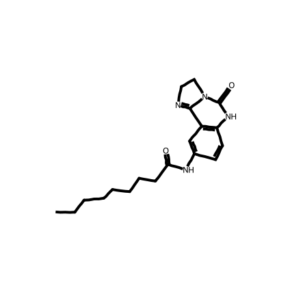 CCCCCCCCC(=O)Nc1ccc2c(c1)C1=NCCN1C(=O)N2